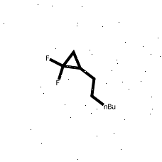 [CH2]CCCCCC1CC1(F)F